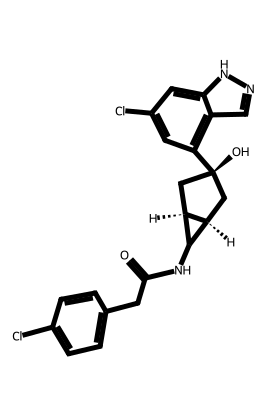 O=C(Cc1ccc(Cl)cc1)NC1[C@H]2C[C@](O)(c3cc(Cl)cc4[nH]ncc34)C[C@@H]12